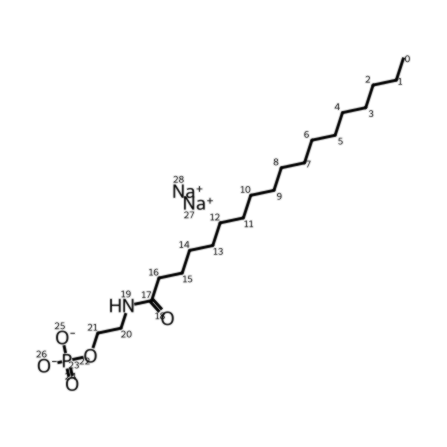 CCCCCCCCCCCCCCCCCC(=O)NCCOP(=O)([O-])[O-].[Na+].[Na+]